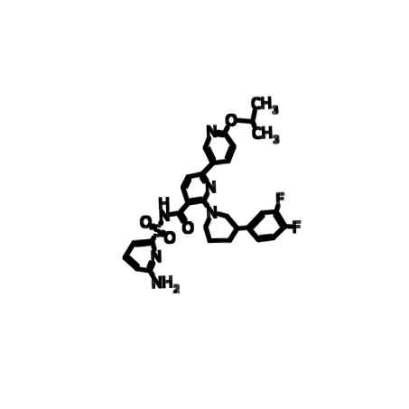 CC(C)Oc1ccc(-c2ccc(C(=O)NS(=O)(=O)c3cccc(N)n3)c(N3CCCC(c4ccc(F)c(F)c4)C3)n2)cn1